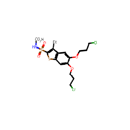 CCc1c(S(=O)(=O)NC(=O)O)sc2cc(OCCCCl)c(OCCCCl)cc12